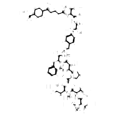 CC[C@H](C)[C@@H]([C@@H](CC(=O)N1CCC[C@H]1[C@H](OC)[C@@H](C)C(=O)N[C@@H](Cc1ccccc1)C(=O)NOCc1ccc(NC(=O)[C@@H](C)NC(=O)[C@H](NC(=O)CCCC(=O)C2CCC(C(=O)O)CC2)C(C)C)cc1)OC)N(C)C(=O)[C@@H](NC(=O)[C@H](C(C)C)N(C)C)C(C)C